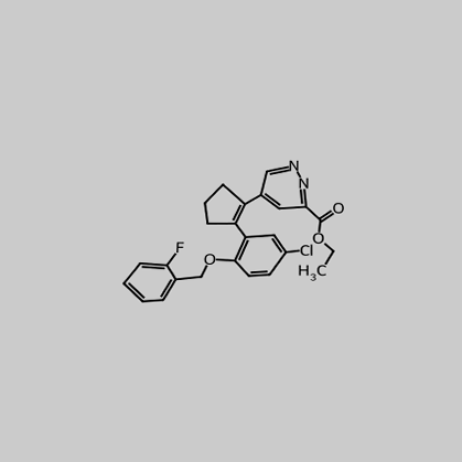 CCOC(=O)c1cc(C2=C(c3cc(Cl)ccc3OCc3ccccc3F)CCC2)cnn1